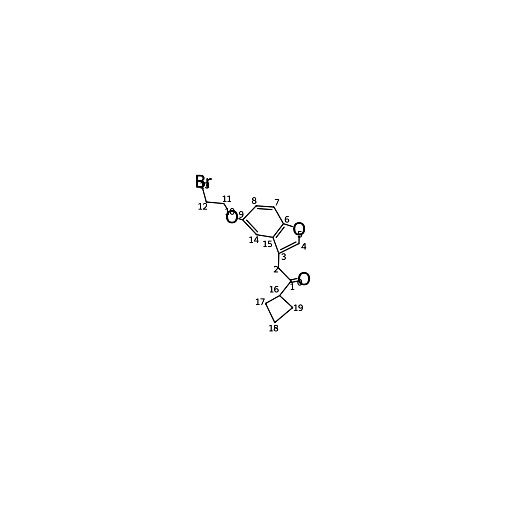 O=C(Cc1coc2ccc(OCCBr)cc12)C1CCC1